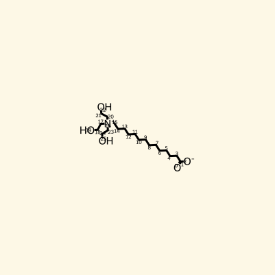 O=C([O-])CCCCCCCCCCCCC[N+](CCO)(CCO)CCO